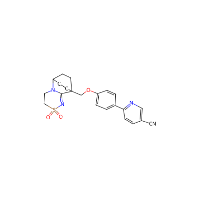 N#Cc1ccc(-c2ccc(OCC34CCC(CC3)N3CCS(=O)(=O)N=C34)cc2)nc1